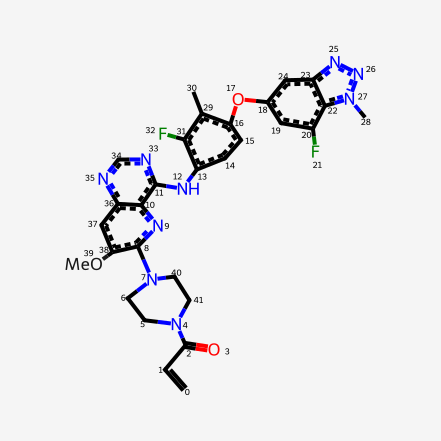 C=CC(=O)N1CCN(c2nc3c(Nc4ccc(Oc5cc(F)c6c(c5)nnn6C)c(C)c4F)ncnc3cc2OC)CC1